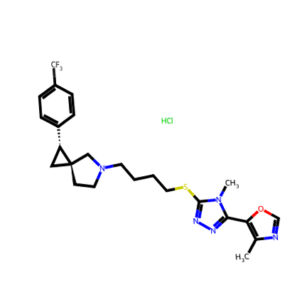 Cc1ncoc1-c1nnc(SCCCCN2CC[C@]3(C[C@@H]3c3ccc(C(F)(F)F)cc3)C2)n1C.Cl